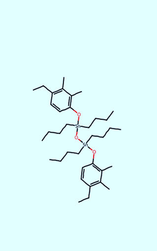 CCC[CH2][Sn]([CH2]CCC)([O]c1ccc(CC)c(C)c1C)[O][Sn]([CH2]CCC)([CH2]CCC)[O]c1ccc(CC)c(C)c1C